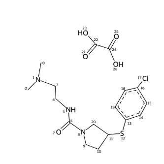 CN(C)CCNC(=O)N1CCC(Sc2ccc(Cl)cc2)C1.O=C(O)C(=O)O